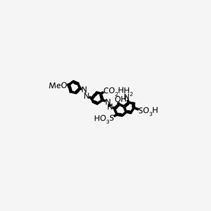 COc1ccc(N=Nc2ccc(N=Nc3c(S(=O)(=O)O)cc4cc(S(=O)(=O)O)cc(N)c4c3O)c(C(=O)O)c2)cc1